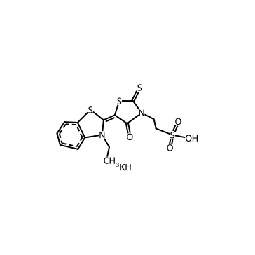 CCN1C(=C2SC(=S)N(CCS(=O)(=O)O)C2=O)Sc2ccccc21.[KH]